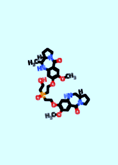 COc1cc2c(cc1OCCP(=O)(CCO)CCOc1cc3c(cc1OC)C(=O)N1CCC[C@H]1C(C)N3)NC[C@@H]1CCCN1C2=O